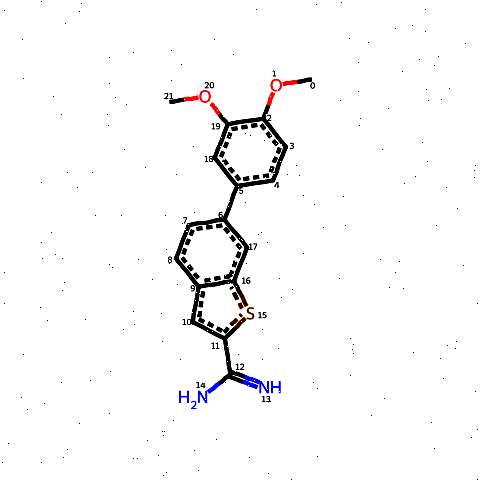 COc1ccc(-c2ccc3cc(C(=N)N)sc3c2)cc1OC